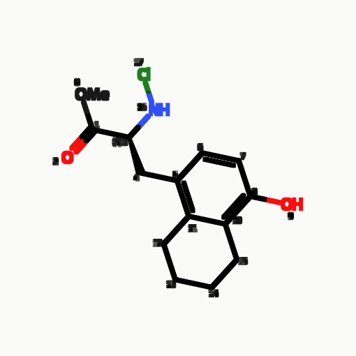 COC(=O)[C@H](Cc1ccc(O)c2c1CCCC2)NCl